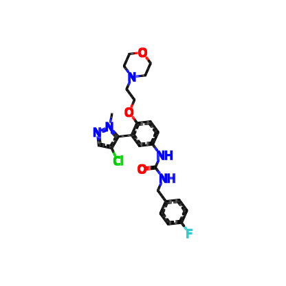 Cn1ncc(Cl)c1-c1cc(NC(=O)NCc2ccc(F)cc2)ccc1OCCN1CCOCC1